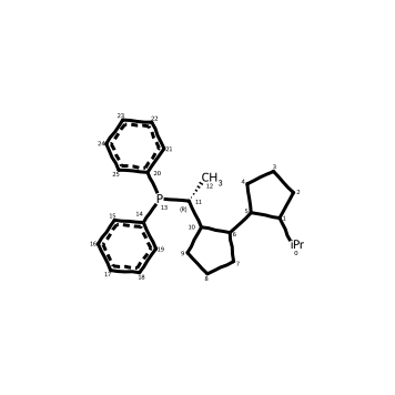 CC(C)C1CCCC1C1CCCC1[C@@H](C)P(c1ccccc1)c1ccccc1